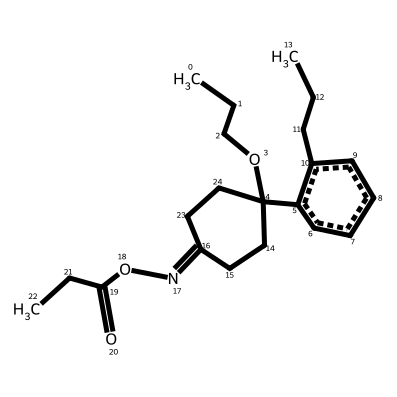 CCCOC1(c2ccccc2CCC)CCC(=NOC(=O)CC)CC1